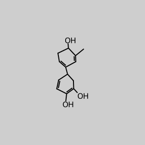 CC1=CC(C2C=CC(O)=C(O)C2)=CCC1O